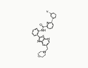 O=C(Nc1ccccc1-c1nc2cc(CN3CCOCC3)cnc2s1)c1cccc(-c2cccc(F)c2)n1